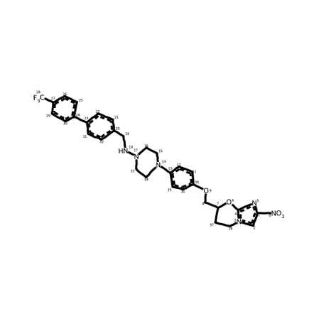 O=[N+]([O-])c1cn2c(n1)OC(COc1ccc(N3CCN(NCc4ccc(-c5ccc(C(F)(F)F)cc5)cc4)CC3)cc1)CC2